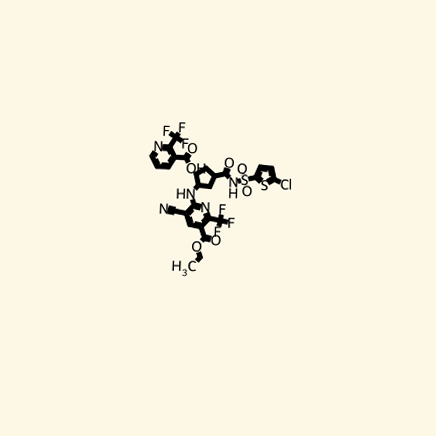 CCOC(=O)c1cc(C#N)c(NC2CCC(C(=O)NS(=O)(=O)c3ccc(Cl)s3)C2)nc1C(F)(F)F.O=C(O)c1cccnc1C(F)(F)F